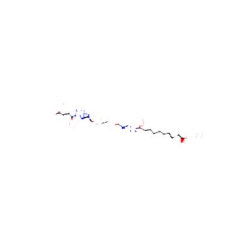 CC(=O)CCC(=O)NCCCOCCOCCCNC(=O)CCCCCCCCC(=O)O